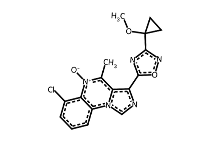 COC1(c2noc(-c3ncn4c3c(C)[n+]([O-])c3c(Cl)cccc34)n2)CC1